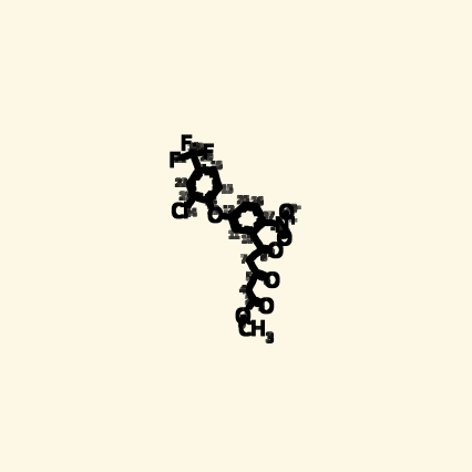 COC(=O)CC(=O)CC(=O)c1cc(Oc2ccc(C(F)(F)F)cc2Cl)ccc1[N+](=O)[O-]